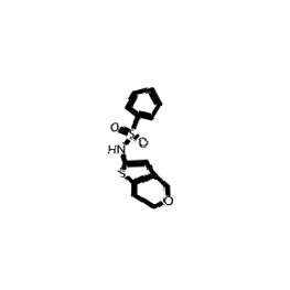 O=S(=O)(Nc1cc2c(s1)CCOC2)c1ccccc1